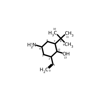 C=CC1CC(N)CC(C(C)(C)C)C1O